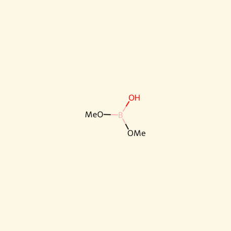 COB(O)OC